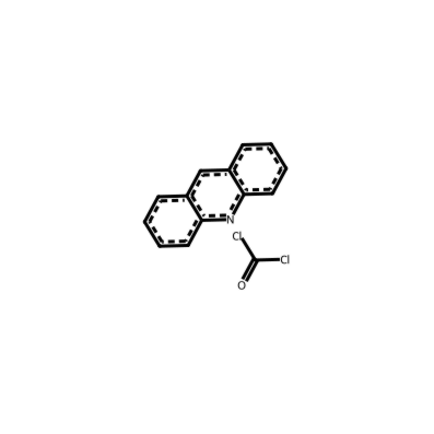 O=C(Cl)Cl.c1ccc2nc3ccccc3cc2c1